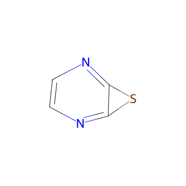 c1cnc2c(n1)S2